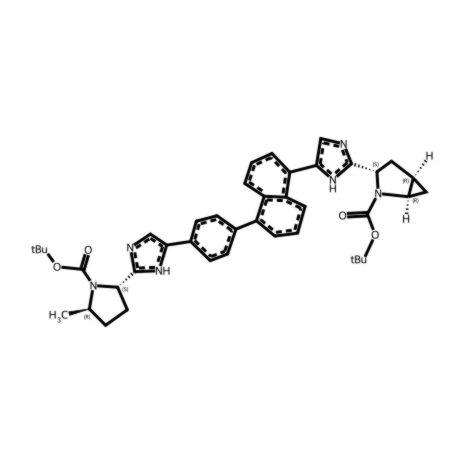 C[C@@H]1CC[C@@H](c2ncc(-c3ccc(-c4cccc5c(-c6cnc([C@@H]7C[C@H]8C[C@H]8N7C(=O)OC(C)(C)C)[nH]6)cccc45)cc3)[nH]2)N1C(=O)OC(C)(C)C